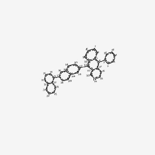 c1ccc(-c2c3ccccc3c(-c3ccc4cc(-c5cccc6ccccc56)ccc4c3)c3cnccc23)cc1